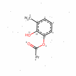 Cc1cccc(OC(=O)C(C)C)c1O